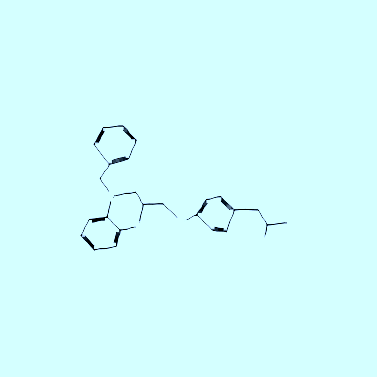 CCC(Cc1ccc(OCC2CN(Cc3ccccc3)c3ccccc3O2)cc1)C(=O)O